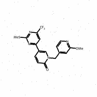 COc1cc(Cn2cc(-c3cc(C(F)(F)F)nc(SC)n3)ccc2=O)ccn1